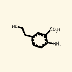 Nc1ccc(CCO)cc1C(=O)O